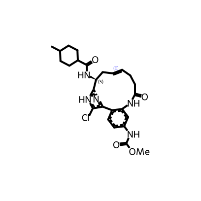 COC(=O)Nc1ccc2c(c1)NC(=O)CC/C=C/C[C@H](NC(=O)C1CCC(C)CC1)c1nc-2c(Cl)[nH]1